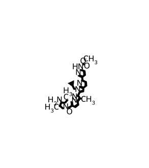 CCC1[C@H](N)C(C)CN1C(=O)c1ccc2c(C)c(-c3cc4ccc(-c5ccc(NC(=O)OC)nc5)nc4n3CC3CC3)nn2c1